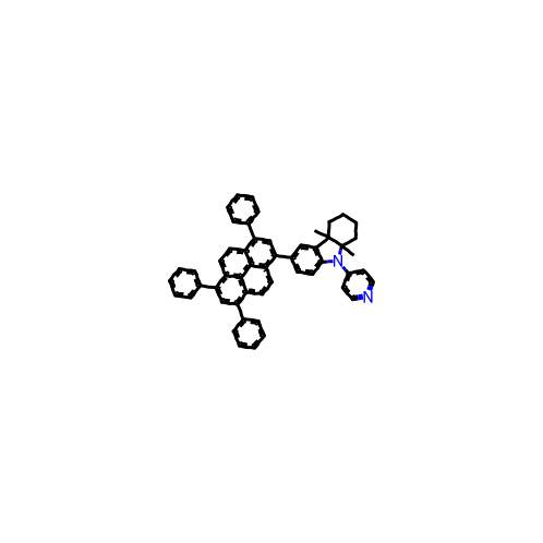 CC12CCCCC1(C)N(c1ccncc1)c1ccc(-c3cc(-c4ccccc4)c4ccc5c(-c6ccccc6)cc(-c6ccccc6)c6ccc3c4c56)cc12